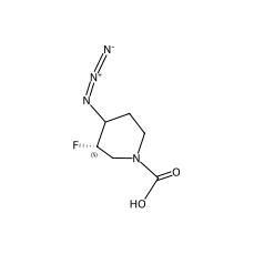 [N-]=[N+]=NC1CCN(C(=O)O)C[C@@H]1F